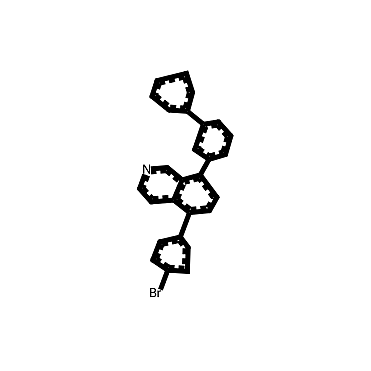 Brc1ccc(-c2ccc(-c3cccc(-c4ccccc4)c3)c3cnccc23)cc1